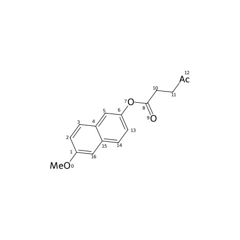 COc1ccc2cc(OC(=O)CCC(C)=O)ccc2c1